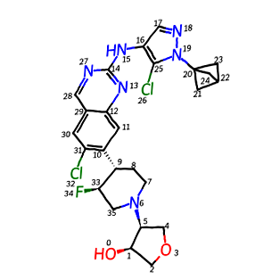 O[C@@H]1COC[C@@H]1N1CC[C@@H](c2cc3nc(Nc4cnn(C56CC(C5)C6)c4Cl)ncc3cc2Cl)[C@H](F)C1